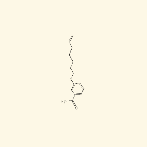 C=CCCCCCOc1cccc(C(N)=O)c1